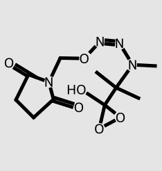 CN(/N=N\OCN1C(=O)CCC1=O)C(C)(C)C1(O)OO1